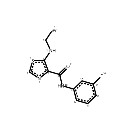 CC(C)CNc1scnc1C(=O)Nc1cccc(F)c1